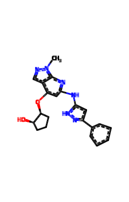 Cn1ncc2c(O[C@H]3CCC[C@H]3O)cc(Nc3cc(-c4ccccc4)n[nH]3)nc21